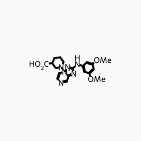 COc1cc(NC2=N[N+]3(N4CCCC(C(=O)O)C4)C=CN=CC3=N2)cc(OC)c1